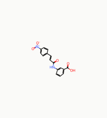 O=C(C=Cc1ccc([N+](=O)[O-])cc1)Nc1cccc(C(=O)O)c1